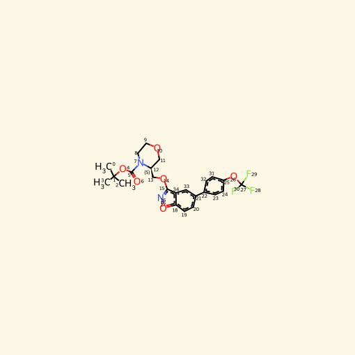 CC(C)(C)OC(=O)N1CCOC[C@H]1COc1noc2ccc(-c3ccc(OC(F)(F)F)cc3)cc12